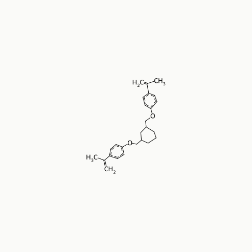 C=C(C)c1ccc(OCC2CCCC(COc3ccc(C(=C)C)cc3)C2)cc1